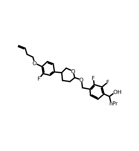 C=CCCOc1ccc(C2CCC(OCc3ccc(C(O)CCC)c(F)c3F)OC2)cc1F